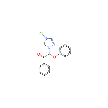 O=C(c1ccccc1)C(Oc1ccccc1)N1CN(Cl)C=N1